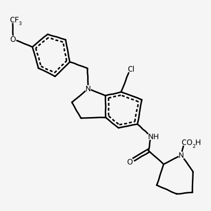 O=C(Nc1cc(Cl)c2c(c1)CCN2Cc1ccc(OC(F)(F)F)cc1)C1CCCCN1C(=O)O